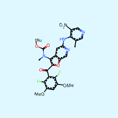 COc1cc(OC)c(F)c(C(=O)c2oc3cnc(Nc4c(C)cncc4[N+](=O)[O-])cc3c2N(C)C(=O)OC(C)(C)C)c1F